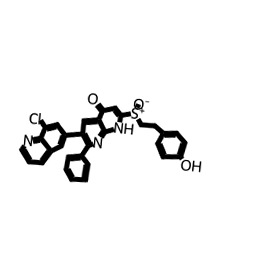 O=c1cc([S+]([O-])CCc2ccc(O)cc2)[nH]c2nc(-c3ccccc3)c(-c3cc(Cl)c4ncccc4c3)cc12